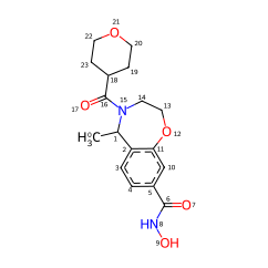 CC1c2ccc(C(=O)NO)cc2OCCN1C(=O)C1CCOCC1